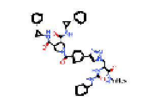 CCCCCCNC(=O)[C@H](Cn1cc(-c2ccc(C(=O)N3C[C@@H](C(=O)N[C@H]4C[C@@H]4c4ccccc4)[C@H](C(=O)N[C@H]4C[C@@H]4c4ccccc4)C3)cc2)nn1)NC(=O)NCc1ccccc1